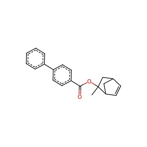 CC1(OC(=O)c2ccc(-c3ccccc3)cc2)CC2C=CC1C2